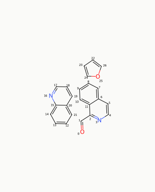 O=Cc1nccc2ccccc12.c1ccc2ncccc2c1.c1ccoc1